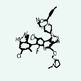 CC#CC(=O)N1CC[C@H](n2nnc3c(OC[C@@H]4CCCN4C)nc4c(F)c(-c5c(C)c(Cl)cc6[nH]ncc56)c(Cl)cc4c32)C[C@H]1CC#N